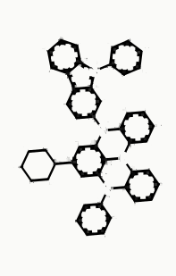 c1ccc(N2c3ccccc3B3c4ccccc4N(c4ccc5c6ccccc6n(-c6ccccc6)c5c4)c4cc(C5CCCCC5)cc2c43)cc1